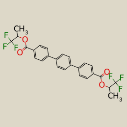 CC(OC(=O)c1ccc(-c2ccc(-c3ccc(C(=O)OC(C)C(F)(F)F)cc3)cc2)cc1)C(F)(F)F